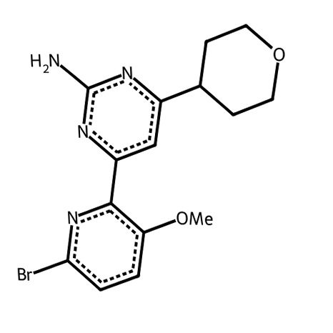 COc1ccc(Br)nc1-c1cc(C2CCOCC2)nc(N)n1